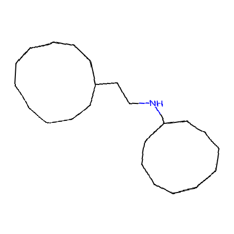 C1CCCCCC(CCNC2CCCCCCCCC2)CCCC1